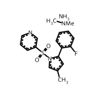 CNC.Cc1cc(-c2ccccc2F)n(S(=O)(=O)c2cccnc2)c1.N